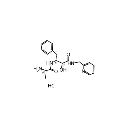 C[C@@H](N)C(=O)N[C@H](Cc1ccccc1)[C@H](O)C(=O)NCc1ccccn1.Cl